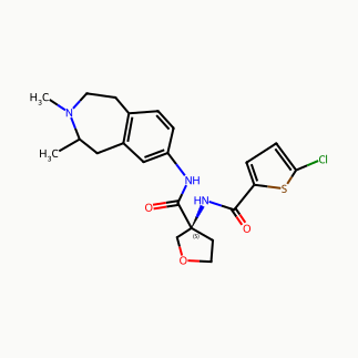 CC1Cc2cc(NC(=O)[C@]3(NC(=O)c4ccc(Cl)s4)CCOC3)ccc2CCN1C